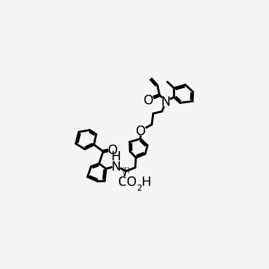 C=CC(=O)N(CCCOc1ccc(C[C@H](Nc2ccccc2C(=O)c2ccccc2)C(=O)O)cc1)c1ccccc1C